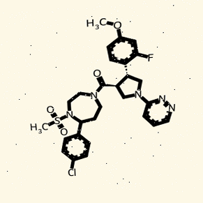 COc1ccc([C@@H]2CN(c3cccnn3)C[C@H]2C(=O)N2CCC(c3ccc(Cl)cc3)N(S(C)(=O)=O)CC2)c(F)c1